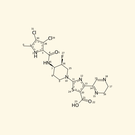 Cc1[nH]c(C(=O)N[C@@H]2CCN(c3nc(C4=NCCN=C4)c(C(=O)O)s3)C[C@@H]2F)c(Cl)c1Cl